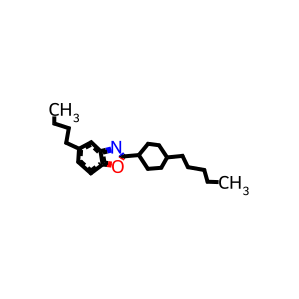 CCCCCC1CCC(c2nc3cc(CCCC)ccc3o2)CC1